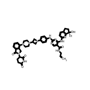 C=CCNC(=O)c1cnc(Nc2ccc(N3CC(N4CCN(c5cccc6c5CN(C5CCC(=O)NC5=O)C6=O)CC4)C3)cc2)nc1Nc1ccc2c(n1)[C@@](O)(CC)CC2